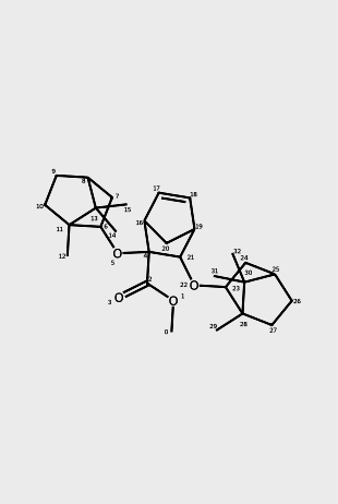 COC(=O)C1(OC2CC3CCC2(C)C3(C)C)C2C=CC(C2)C1OC1CC2CCC1(C)C2(C)C